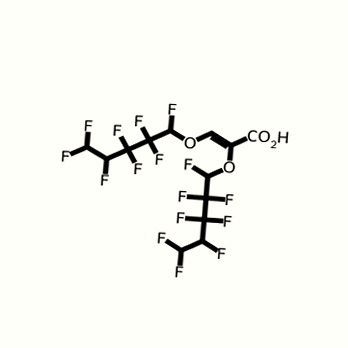 O=C(O)C(=COC(F)C(F)(F)C(F)(F)C(F)C(F)F)OC(F)C(F)(F)C(F)(F)C(F)C(F)F